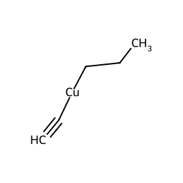 C#[C][Cu][CH2]CC